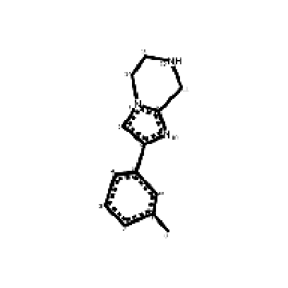 Cc1cccc(-c2cn3c(n2)CNCC3)c1